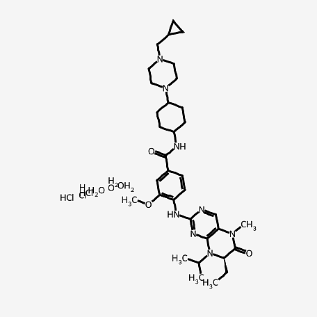 CC[C@@H]1C(=O)N(C)c2cnc(Nc3ccc(C(=O)NC4CCC(N5CCN(CC6CC6)CC5)CC4)cc3OC)nc2N1C(C)C.Cl.Cl.Cl.O.O.O